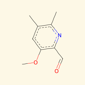 COc1cc(C)c(C)nc1C=O